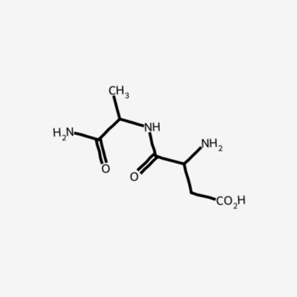 CC(NC(=O)C(N)CC(=O)O)C(N)=O